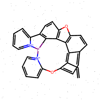 C=Cc1c2ccc3ccc4oc5ccc6c7cccc[n+]7p(c6c5c4c13)[n+]1ccccc1o2